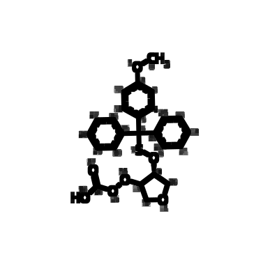 COc1ccc(C(SO[C@H]2COCC2OOC(=O)O)(c2ccccc2)c2ccccc2)cc1